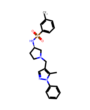 Cc1c(CN2CC[C@@H](NS(=O)(=O)c3cccc(C(F)(F)F)c3)C2)cnn1-c1ccccc1